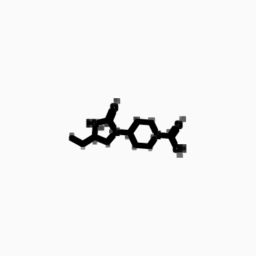 CCC1CN(C2CCN(C(=O)O)CC2)C(=O)N1